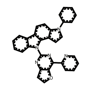 c1ccc(-n2ccc3c2ccc2c4ccccc4n(-c4nc(-c5ccccn5)c5occc5n4)c23)cc1